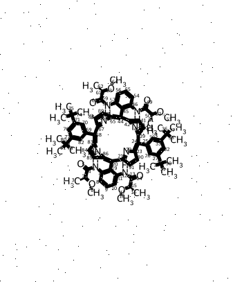 CO[C@@H](C)C(=O)Nc1cccc(NC(=O)[C@@H](C)OC)c1-c1c2nc(c(-c3cc(C(C)(C)C)cc(C(C)(C)C)c3)c3ccc([nH]3)c(-c3c(NC(=O)[C@H](C)OC)cccc3NC(=O)[C@@H](C)OC)c3nc(c(-c4cc(C(C)(C)C)cc(C(C)(C)C)c4)c4ccc1[nH]4)C=C3)C=C2